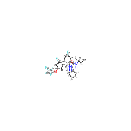 CC1(NC(=O)N[C@](Cc2ccccc2)(c2ccc(F)cc2)c2cc(F)cc(OC(F)(F)C(F)F)c2)CCC1